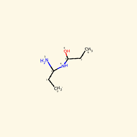 [CH2]CC(N)NC(O)CC